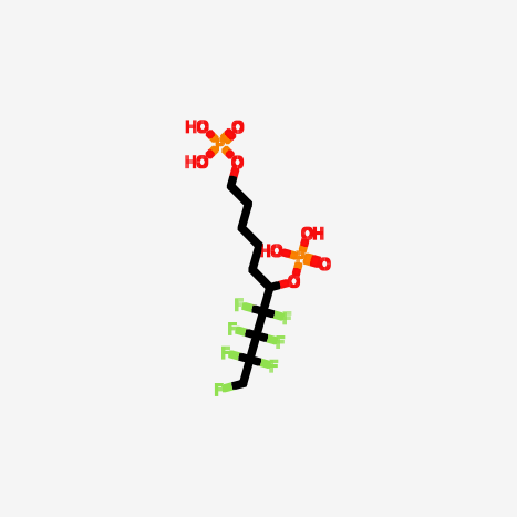 O=P(O)(O)OCCCCCC(OP(=O)(O)O)C(F)(F)C(F)(F)C(F)(F)CF